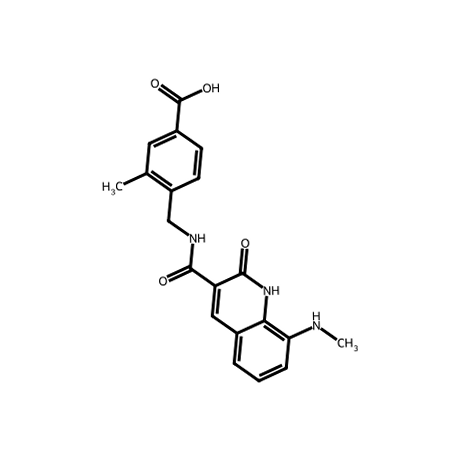 CNc1cccc2cc(C(=O)NCc3ccc(C(=O)O)cc3C)c(=O)[nH]c12